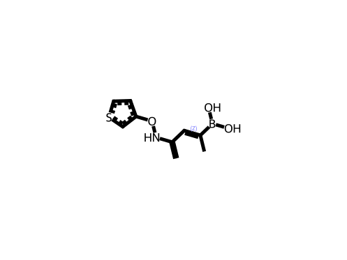 C=C(/C=C(\C)B(O)O)NOc1ccsc1